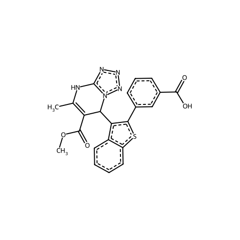 COC(=O)C1=C(C)Nc2nnnn2C1c1c(-c2cccc(C(=O)O)c2)sc2ccccc12